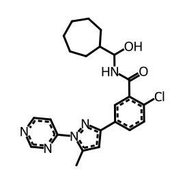 Cc1cc(-c2ccc(Cl)c(C(=O)NC(O)C3CCCCCC3)c2)nn1-c1ccncn1